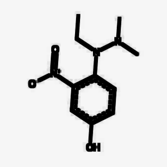 CCN(c1ccc(O)cc1[N+](=O)[O-])N(C)C